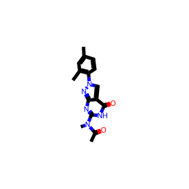 CC(=O)N(C)c1nc2nn(-c3ccc(C)cc3C)cc2c(=O)[nH]1